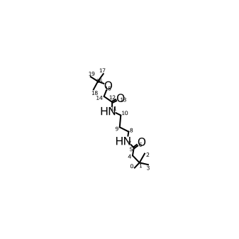 CC(C)(C)CC(=O)NCCCNC(=O)COC(C)(C)C